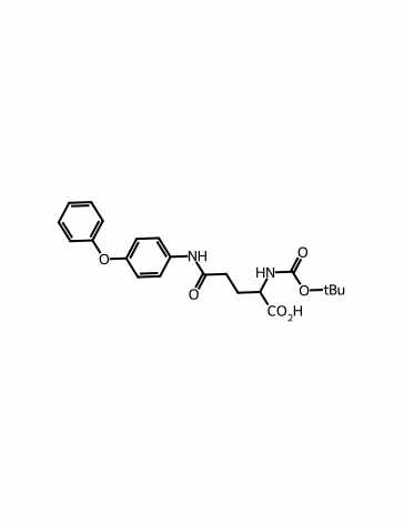 CC(C)(C)OC(=O)NC(CCC(=O)Nc1ccc(Oc2ccccc2)cc1)C(=O)O